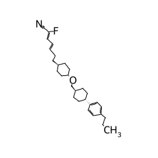 CCCc1ccc([C@H]2CC[C@H](CO[C@H]3CC[C@H](CCC=CC=C(F)C#N)CC3)CC2)cc1